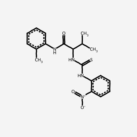 Cc1ccccc1NC(=O)C(NC(=S)Nc1ccccc1[N+](=O)[O-])C(C)C